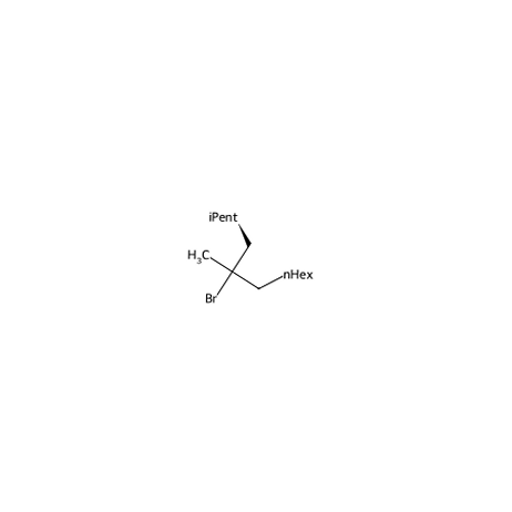 CCCCCCCC(C)(Br)C[C@H](C)CCC